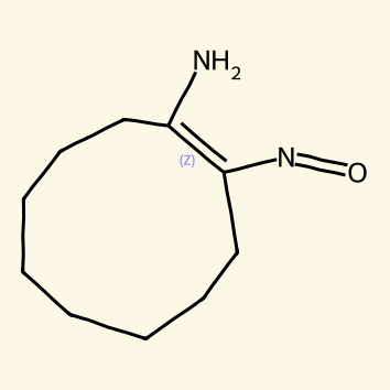 N/C1=C(\N=O)CCCCCCCC1